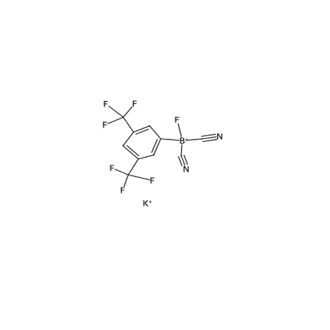 N#C[B-](F)(C#N)c1cc(C(F)(F)F)cc(C(F)(F)F)c1.[K+]